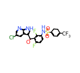 O=C(c1c(F)ccc(NS(=O)(=O)C2=CC=C(C(F)(F)F)CC2)c1F)c1c[nH]c2ncc(Cl)cc12